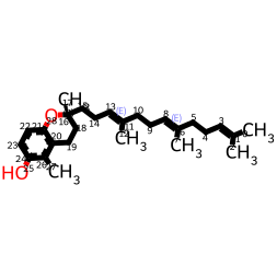 CC(C)=CCC/C(C)=C/CC/C(C)=C/CC[C@]1(C)CCc2c(ccc(O)c2C)O1